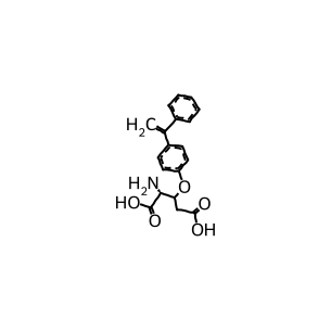 C=C(c1ccccc1)c1ccc(OC(CC(=O)O)[C@H](N)C(=O)O)cc1